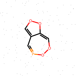 c1ooc2coopcc1-2